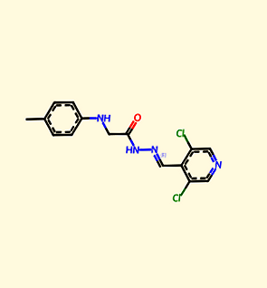 Cc1ccc(NCC(=O)N/N=C/c2c(Cl)cncc2Cl)cc1